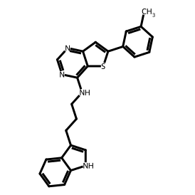 Cc1cccc(-c2cc3ncnc(NCCCc4c[nH]c5ccccc45)c3s2)c1